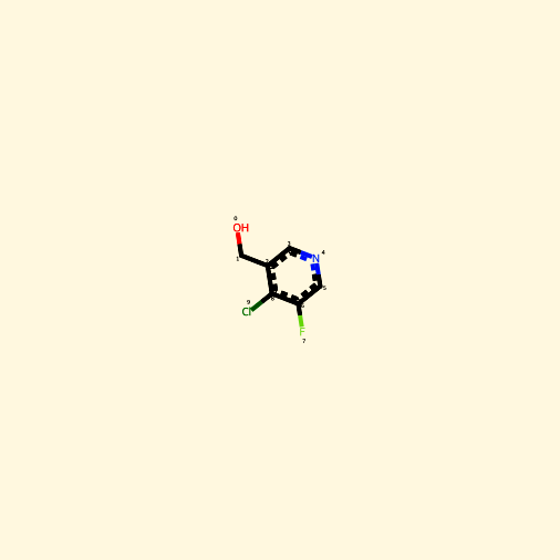 OCc1cncc(F)c1Cl